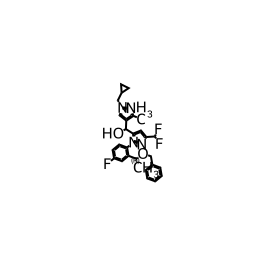 Cc1nn(CC2CC2)cc1C(O)c1cc(C(F)F)nn1-c1ccc(F)cc1[C@@H](C)OCc1ccccc1